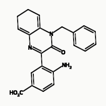 Nc1ccc(C(=O)O)cc1-c1nc2c(n(Cc3ccccc3)c1=O)=CCCC=2